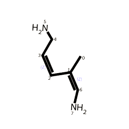 CC(/C=C\CN)=C/N